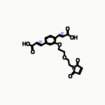 O=C(O)/C=C/c1ccc(/C=C/C(=O)O)c(OCCOCCN2C(=O)C=CC2=O)c1